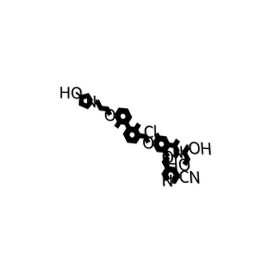 Cc1c(COc2cc(OCc3cncc(C#N)c3)c(C(C)N(C)C(CO)CO)cc2Cl)cccc1-c1cccc(OCCCN2CC[C@@H](O)C2)c1C